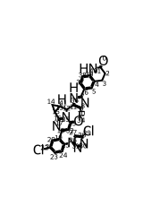 O=C1CCc2cc(-c3nc(F)c(C4[C@@H]5CC5c5nc(-c6cc(Cl)ccc6-n6cc(Cl)nn6)cc(=O)n54)[nH]3)ccc2N1